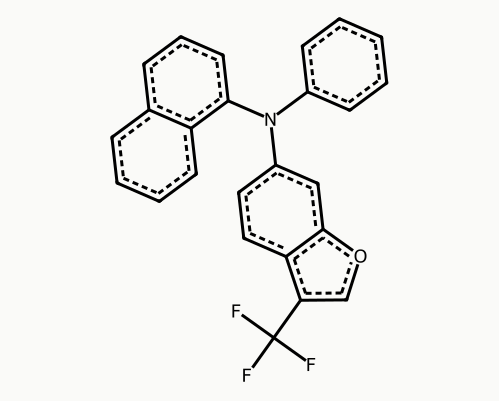 FC(F)(F)c1coc2cc(N(c3ccccc3)c3cccc4ccccc34)ccc12